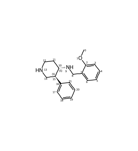 COc1ccccc1CN[C@H]1CCNC[C@@H]1c1ccccc1